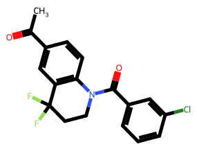 CC(=O)c1ccc2c(c1)C(F)(F)CCN2C(=O)c1cccc(Cl)c1